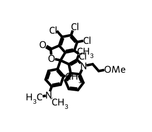 COCCn1c(C)c(C2(c3ccc(N(C)C)cc3C)OC(=O)c3c(Cl)c(Cl)c(Cl)c(Cl)c32)c2ccccc21